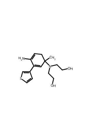 CC1(N(CCO)CCO)C=C(c2ccsc2)C(N)=CC1